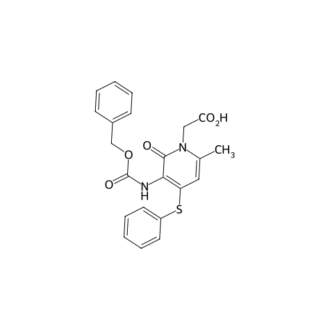 Cc1cc(Sc2ccccc2)c(NC(=O)OCc2ccccc2)c(=O)n1CC(=O)O